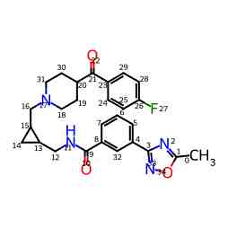 Cc1nc(-c2cccc(C(=O)NCC3CC3CN3CCC(C(=O)c4ccc(F)cc4)CC3)c2)no1